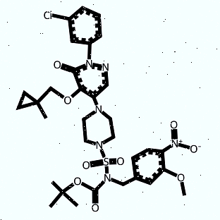 COc1cc(CN(C(=O)OC(C)(C)C)S(=O)(=O)N2CCN(c3cnn(-c4cccc(Cl)c4)c(=O)c3OCC3(C)CC3)CC2)ccc1[N+](=O)[O-]